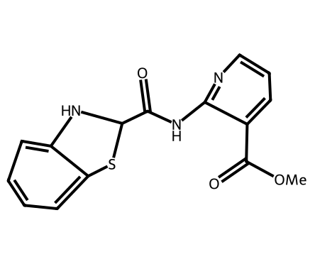 COC(=O)c1cccnc1NC(=O)C1Nc2ccccc2S1